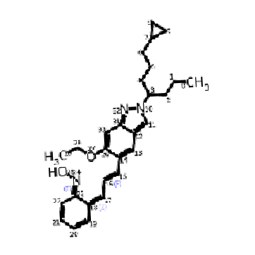 CCCC(CCCC1CC1)n1cc2cc(/C=C/C=C3/C=CC=C/C3=N\O)c(OCC)cc2n1